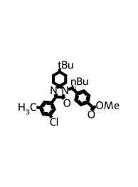 CCCC[C@H](c1ccc(C(=O)OC)cc1)N1C(=O)C(c2cc(C)cc(Cl)c2)=NC12CCC(C(C)(C)C)CC2